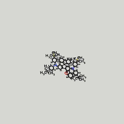 CC(C)(C)c1ccc(N(c2ccc(S(C)(C)C)cc2)c2ccc3c(c2)C(c2ccccc2)(c2ccccc2)c2cc(N(c4ccc(C(C)(C)C)cc4)c4ccc(S(C)(C)C)cc4)c4c(oc5ccccc54)c2-3)cc1